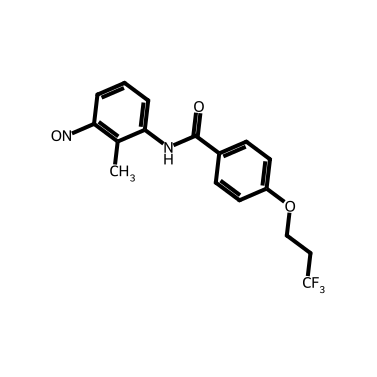 Cc1c(N=O)cccc1NC(=O)c1ccc(OCCC(F)(F)F)cc1